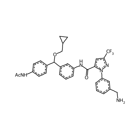 CC(=O)Nc1ccc(C(OCC2CC2)c2cccc(NC(=O)c3cc(C(F)(F)F)nn3-c3cccc(CN)c3)c2)cc1